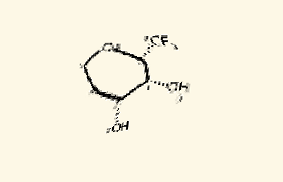 O[C@@H]1[C@H](O)C[CH]O[C@@H]1C(F)(F)F